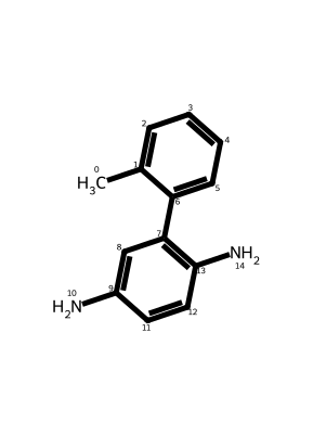 Cc1ccccc1-c1cc(N)ccc1N